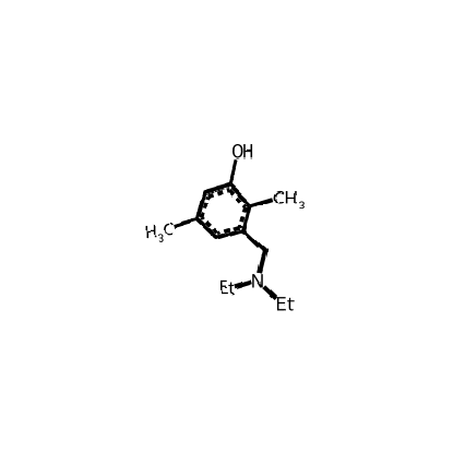 CCN(CC)Cc1cc(C)cc(O)c1C